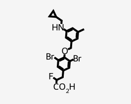 Cc1cc(COc2c(Br)cc(CC(F)C(=O)O)cc2Br)cc(NCC2CC2)c1